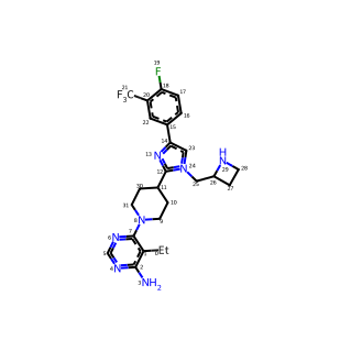 CCc1c(N)ncnc1N1CCC(c2nc(-c3ccc(F)c(C(F)(F)F)c3)cn2CC2CCN2)CC1